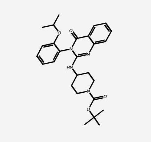 CC(C)Oc1ccccc1-n1c(NC2CCN(C(=O)OC(C)(C)C)CC2)nc2ccccc2c1=O